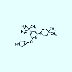 CC1(C)CCN(c2cc(C(C)(C)N)cc(OC3C4CNCC43)n2)CC1